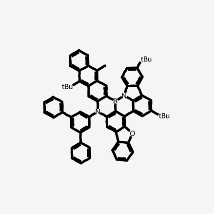 Cc1c2ccccc2c(C(C)(C)C)c2cc3c(cc12)B1c2c(cc4c(oc5ccccc54)c2-c2cc(C(C)(C)C)cc4c5cc(C(C)(C)C)ccc5n1c24)N3c1cc(-c2ccccc2)cc(-c2ccccc2)c1